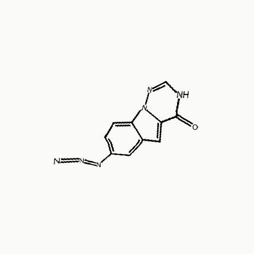 [N-]=[N+]=Nc1ccc2c(c1)cc1c(=O)[nH]cnn12